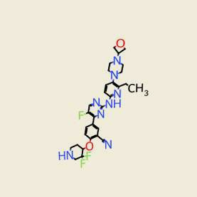 CCc1nc(Nc2ncc(F)c(-c3ccc(OC4CCNCC4(F)F)c(C#N)c3)n2)ccc1N1CCN(C2COC2)CC1